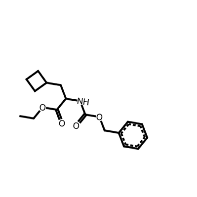 CCOC(=O)C(CC1CCC1)NC(=O)OCc1ccccc1